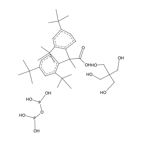 CC(C)(C)c1ccc(C(C)(C(=O)O)c2ccc(C(C)(C)C)cc2C(C)(C)C)c(C(C)(C)C)c1.OCC(CO)(CO)CO.OP(O)OP(O)O